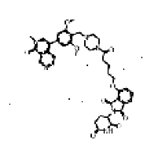 COc1cc(-c2cn(C)c(=O)c3cnccc23)cc(OC)c1CN1CCN(C(=O)CCCCOc2cccc3c2C(=O)N(C2CCC(=O)NC2=O)C3=O)CC1